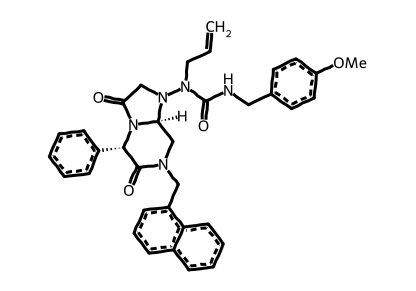 C=CCN(C(=O)NCc1ccc(OC)cc1)N1CC(=O)N2[C@@H](c3ccccc3)C(=O)N(Cc3cccc4ccccc34)C[C@@H]21